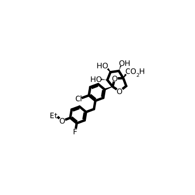 CCOc1ccc(Cc2cc([C@]34OC[C@](C(=O)O)(O3)[C@@H](O)[C@H](O)[C@H]4O)ccc2Cl)cc1F